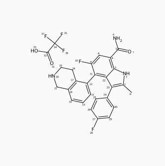 Cc1[nH]c2c(C(N)=O)cc(F)c(-c3cccc4c3CCNC4)c2c1-c1ccc(F)cc1.O=C(O)C(F)(F)F